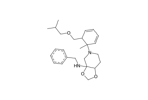 CC(C)COCC1C=CC=CC1(C)N1CCC2OCOC2(NCc2ccccc2)C1